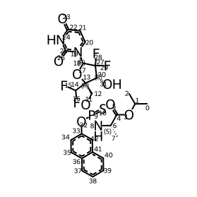 CC(C)OC(=O)[C@H](C)NP(=S)(OC[C@@]1(C(F)F)O[C@@H](n2ccc(=O)[nH]c2=O)C(F)(F)[C@@H]1O)Oc1ccc2ccccc2c1